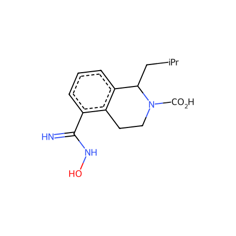 CC(C)CC1c2cccc(C(=N)NO)c2CCN1C(=O)O